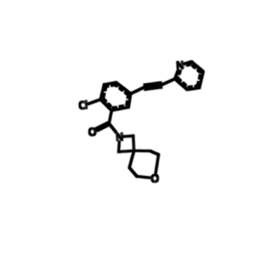 O=C(c1cc(C#Cc2ccccn2)ccc1Cl)N1CC2(CCOCC2)C1